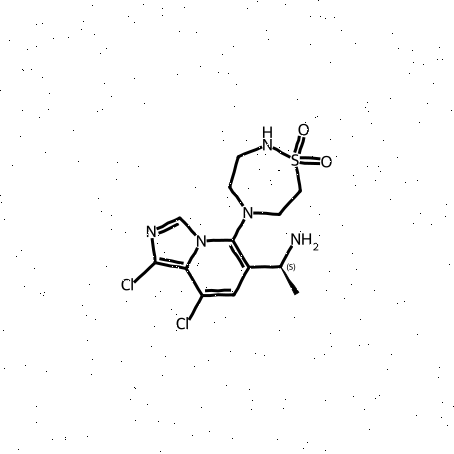 C[C@H](N)c1cc(Cl)c2c(Cl)ncn2c1N1CCNS(=O)(=O)CC1